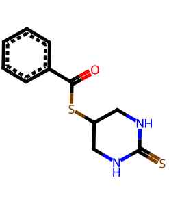 O=C(SC1CNC(=S)NC1)c1ccccc1